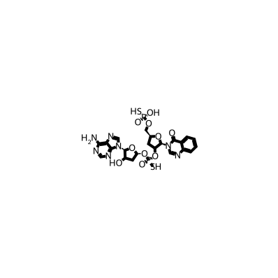 Nc1ncnc2c1ncn2[C@@H]1O[C@H](OP(=O)(S)OC2C[C@@H](COP(=O)(O)S)O[C@H]2n2cnc3ccccc3c2=O)CC1O